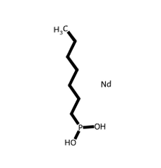 CCCCCCCP(O)O.[Nd]